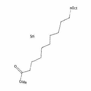 CCCCCCCCCCCCCCCCCC(=O)OC.[Sn]